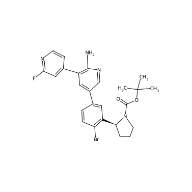 CC(C)(C)OC(=O)N1CCC[C@H]1c1cc(-c2cnc(N)c(-c3ccnc(F)c3)c2)ccc1Br